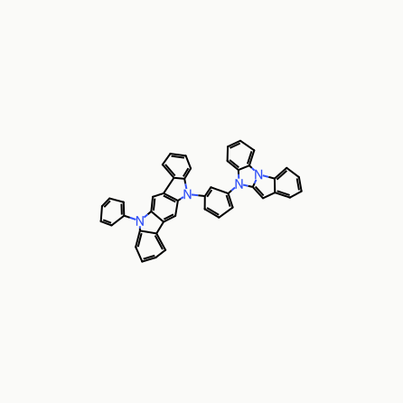 c1ccc(-n2c3ccccc3c3cc4c(cc32)c2ccccc2n4-c2cccc(-n3c4ccccc4n4c5ccccc5cc34)c2)cc1